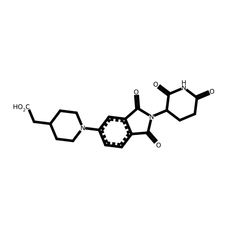 O=C(O)CC1CCN(c2ccc3c(c2)C(=O)N(C2CCC(=O)NC2=O)C3=O)CC1